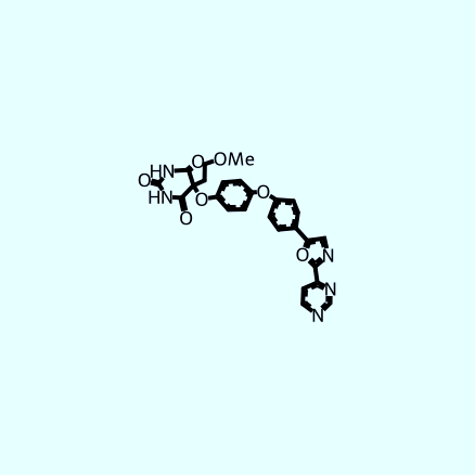 COCCC1(Oc2ccc(Oc3ccc(-c4cnc(-c5ccncn5)o4)cc3)cc2)C(=O)NC(=O)NC1=O